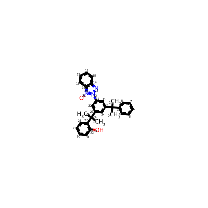 CC(C)(c1ccccc1)c1cc(-n2nc3ccccc3[n+]2[O-])cc(C(C)(C)c2ccccc2O)c1